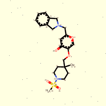 CC1(COc2coc(CN3Cc4ccccc4C3)cc2=O)CCN(S(C)(=O)=O)CC1